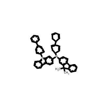 CC1(C)c2ccccc2-c2ccc(N(c3ccc4c5ccccc5n(-c5ccc(-c6ccccc6)cc5)c4c3)C3C=CC(C4C=CC=CC4)=CC3)cc21